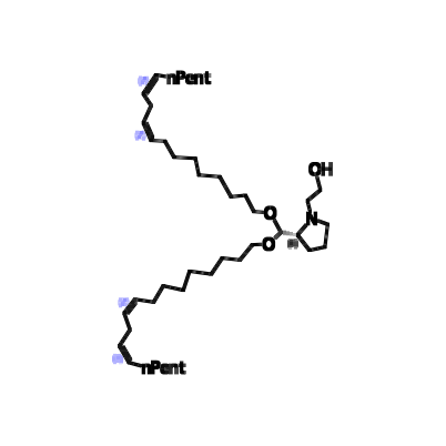 CCCCC/C=C\C/C=C\CCCCCCCCOC(OCCCCCCCC/C=C\C/C=C\CCCCC)[C@H]1CCCN1CCO